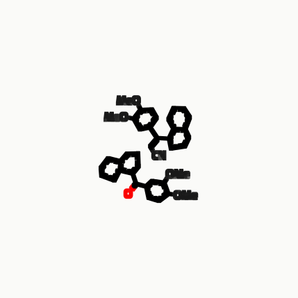 COc1ccc(/C(=C/C#N)c2cccc3ccccc23)cc1OC.COc1ccc(C(=O)c2cccc3ccccc23)cc1OC